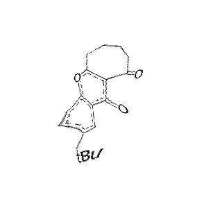 CC(C)(C)c1ccc2oc3c(c(=O)c2c1)C(=O)CCC3